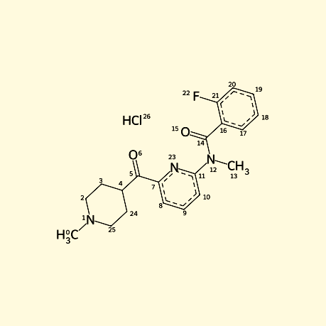 CN1CCC(C(=O)c2cccc(N(C)C(=O)c3ccccc3F)n2)CC1.Cl